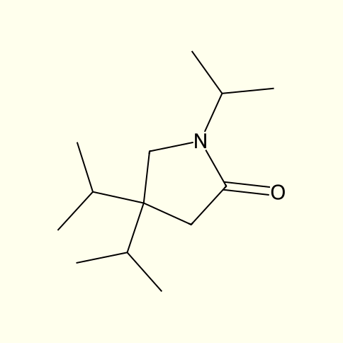 CC(C)N1CC(C(C)C)(C(C)C)CC1=O